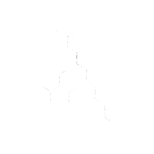 CC(C)N(C(C)C)C(C)C.CCCCCCCCCCC(=O)O